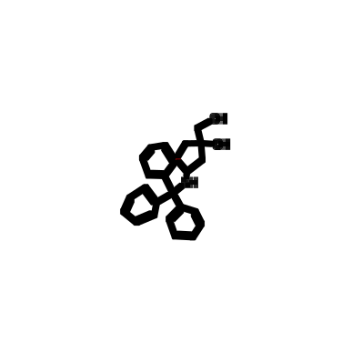 OCC1(O)CCC(NC(c2ccccc2)(c2ccccc2)c2ccccc2)C1